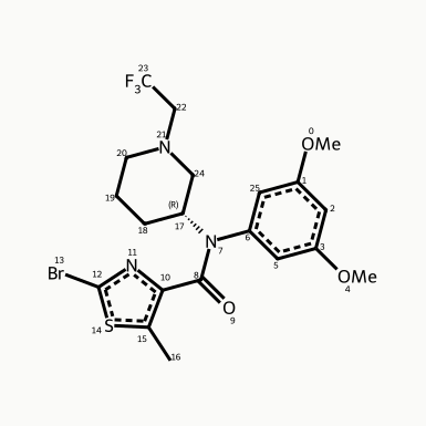 COc1cc(OC)cc(N(C(=O)c2nc(Br)sc2C)[C@@H]2CCCN(CC(F)(F)F)C2)c1